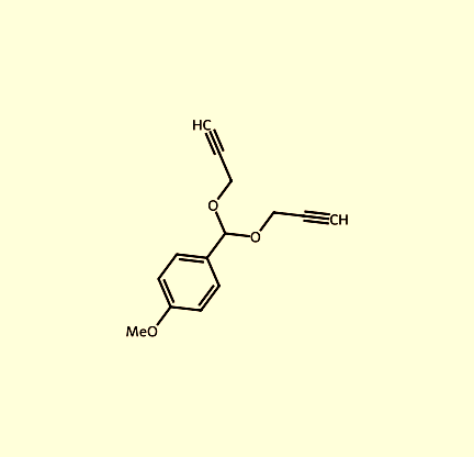 C#CCOC(OCC#C)c1ccc(OC)cc1